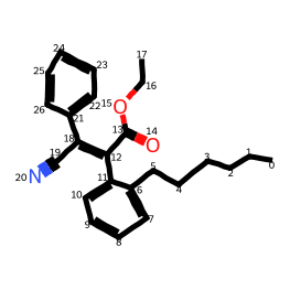 CCCCCCc1ccccc1C(C(=O)OCC)=C(C#N)c1ccccc1